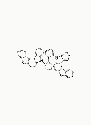 c1ccc(-n2c3ccccc3c3c4c(ccc32)sc2ccccc24)c(-c2ccccc2-n2c3ccccc3c3c4c(ccc32)sc2ccccc24)c1